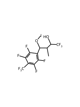 CC(C(OI)c1c(F)c(F)c(C(F)(F)F)c(F)c1F)C(O)C(F)(F)F